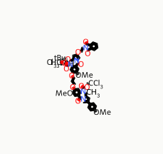 COc1ccc(C2=CN3C(=O)c4cc(OC)c(OCCCOc5cc6c(cc5OC)C(=O)N5C=C(OCCN7C(=O)c8ccccc8C7=O)CC5[C@@H](O[Si](C)(C)C(C)(C)C)N6C(=O)OCC(Cl)(Cl)Cl)cc4N(C(=O)OCC(Cl)(Cl)Cl)[C@H](C)C3C2)cc1